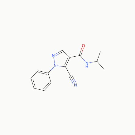 CC(C)NC(=O)c1cnn(-c2ccccc2)c1C#N